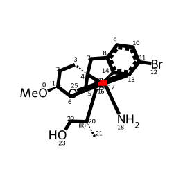 CO[C@H]1CC[C@]2(CC1)Cc1ccc(Br)cc1[C@@]21N=C(N)N([C@H](C)CO)C1=O